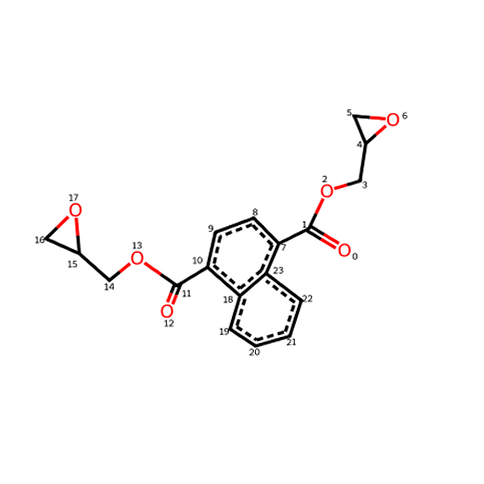 O=C(OCC1CO1)c1ccc(C(=O)OCC2CO2)c2ccccc12